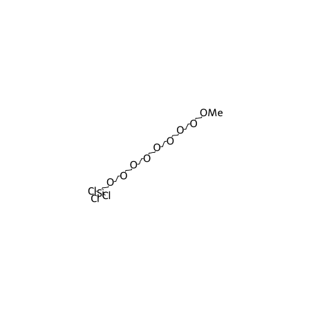 COCCOCCOCCOCCOCCOCCOCCOCCOCC[Si](Cl)(Cl)Cl